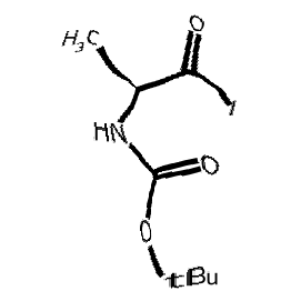 C[C@H](NC(=O)OC(C)(C)C)C(=O)I